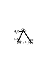 CCCCCC(CCCCCCCCC[C@H](O)[C@H](N)CO)C(CC)CCCCCCCCCC/C=C/[C@H](O)[C@H](N)CO